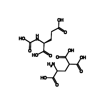 NC(CC(C(=O)O)C(=O)O)C(=O)O.O=C(O)CC[C@H](NC(=O)O)C(=O)O